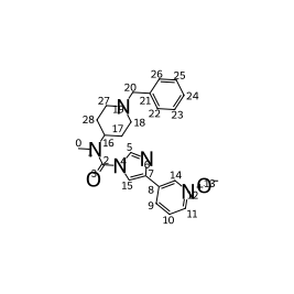 CN(C(=O)n1cnc(-c2ccc[n+]([O-])c2)c1)C1CCN(Cc2ccccc2)CC1